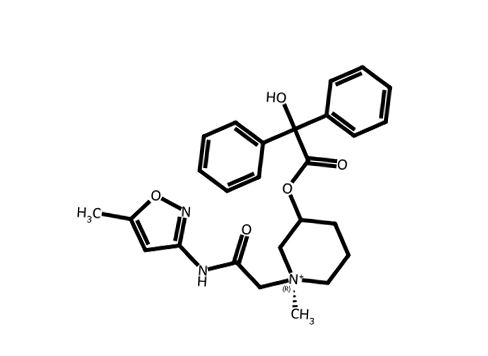 Cc1cc(NC(=O)C[N@+]2(C)CCCC(OC(=O)C(O)(c3ccccc3)c3ccccc3)C2)no1